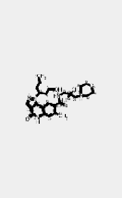 CCCC(CCO)n1ncc2c(=O)[nH]c3cc(C)c(C(=O)NCC(C)(C)CN4CCOCC4)cc3c21